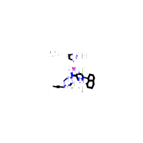 CO[C@@H]1C[C@@H](COc2nc(N3CCN(C(=O)C#CCF)[C@@H](CC#N)C3)c3cnc(-c4cccc5cccc(C)c45)c(F)c3n2)N(C)C1